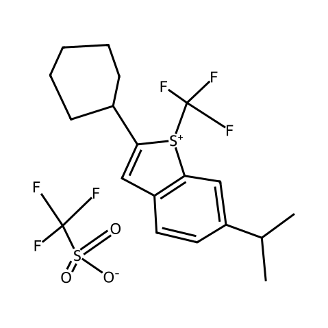 CC(C)c1ccc2cc(C3CCCCC3)[s+](C(F)(F)F)c2c1.O=S(=O)([O-])C(F)(F)F